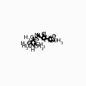 CN(c1nnc(-c2ccc(-c3ccn(C)c(=O)c3)cc2Cl)s1)C1CC(C)(C)NC(C)(C)C1